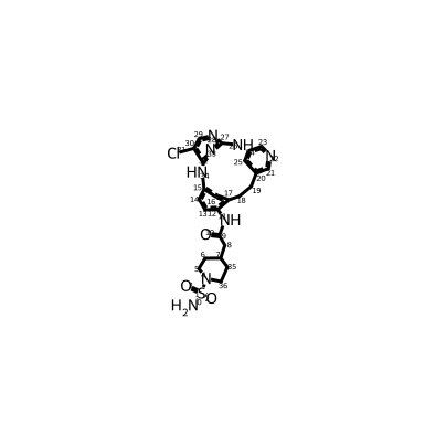 NS(=O)(=O)N1CCC(CC(=O)Nc2ccc3cc2CCc2cncc(c2)Nc2ncc(Cl)c(n2)N3)CC1